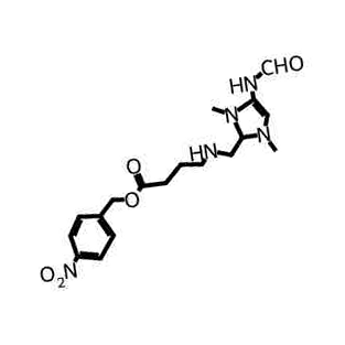 CN1C=C(NC=O)N(C)C1CNCCCC(=O)OCc1ccc([N+](=O)[O-])cc1